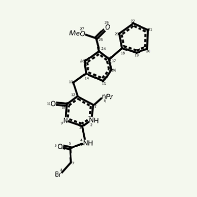 CCCc1[nH]c(NC(=O)CBr)nc(=O)c1Cc1ccc(-c2ccccc2)c(C(=O)OC)c1